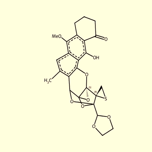 COc1c2c(c(O)c3c4c(c(C)cc13)C1OC3(C5OCCO5)OC15O[C@]5(O4)[C@@]31CS1)C(=O)CCC2